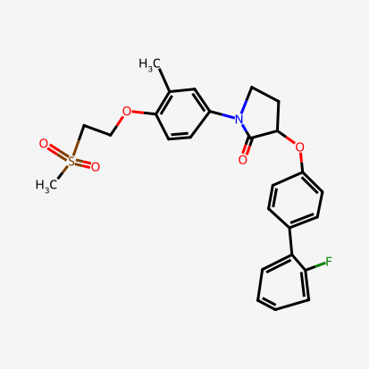 Cc1cc(N2CCC(Oc3ccc(-c4ccccc4F)cc3)C2=O)ccc1OCCS(C)(=O)=O